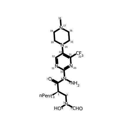 CCCCC[C@H](CN(O)C=O)C(=O)N(N)c1ncc(N2CCN(C)CC2)c(C(F)(F)F)n1